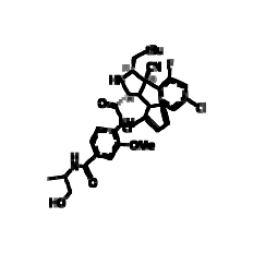 COc1cc(C(=O)NC(C)CO)ccc1NC(=O)[C@@H]1N[C@@H](CC(C)(C)C)[C@](C#N)(c2ccc(Cl)cc2F)C1C1C=CC=C1Cl